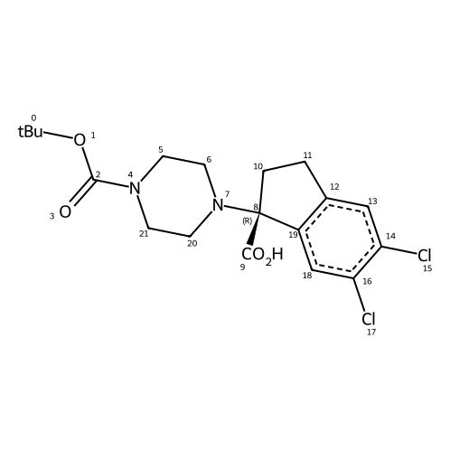 CC(C)(C)OC(=O)N1CCN([C@]2(C(=O)O)CCc3cc(Cl)c(Cl)cc32)CC1